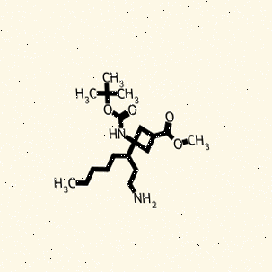 CCCCCC(CCN)C1(NC(=O)OC(C)(C)C)CC(C(=O)OC)C1